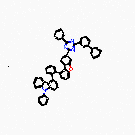 c1ccc(-c2cccc(-c3nc(-c4ccccc4)nc(-c4ccc5c(c4)oc4cccc(-c6ccccc6-c6cccc7c6c6ccccc6n7-c6ccccc6)c45)n3)c2)cc1